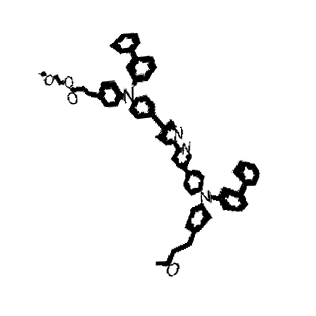 COCCOC(=O)CCc1ccc(N(c2ccc(-c3ccc(-c4ccc(-c5ccc(N(c6ccc(CCC(C)=O)cc6)c6cccc(-c7ccccc7)c6)cc5)cn4)nc3)cc2)c2cccc(-c3ccccc3)c2)cc1